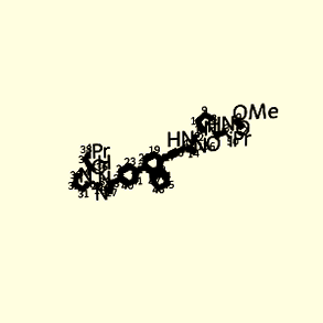 COC(=O)N[C@H](C(=O)N1CCC[C@H]1c1ncc(C#Cc2ccc(-c3ccc(-c4cnc([C@@H]5CCCN5C(=O)CC(C)C)[nH]4)cc3)c3c2C2CCC3C2)[nH]1)C(C)C